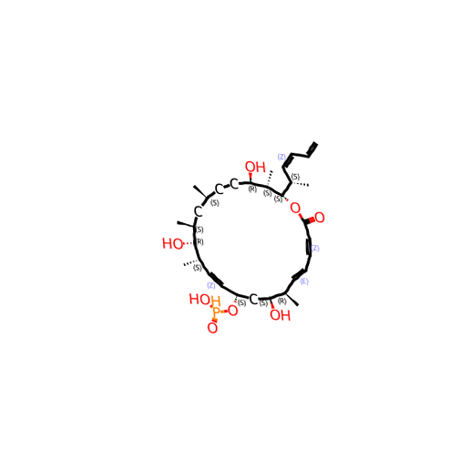 C=C/C=C\[C@H](C)[C@@H]1OC(=O)/C=C\C=C\[C@@H](C)[C@@H](O)C[C@H](O[PH](=O)O)/C=C\[C@H](C)[C@H](O)[C@@H](C)C[C@@H](C)CC[C@@H](O)[C@@H]1C